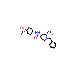 O=C(N[C@H]1CC[C@@](O)(C(F)(F)F)CC1)[C@H]1CCN(Cc2ccccc2)[C@@H](C(F)(F)F)C1